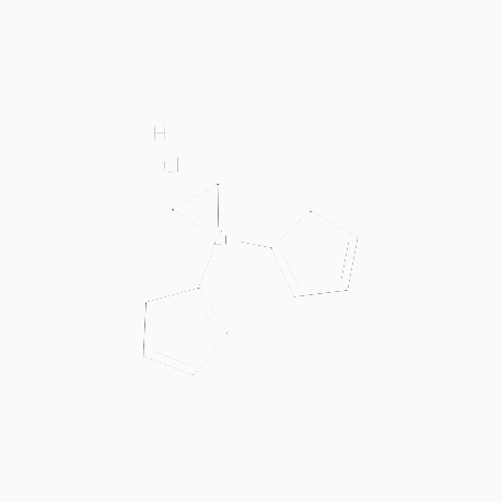 C1=CC[C]([Zr+2]2([C]3=CC=CC3)[CH2][CH2]2)=C1.[Cl-].[H-]